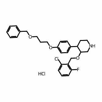 Cl.Fc1cccc(Cl)c1COC1CNCCC1c1ccc(OCCCOCc2ccccc2)cc1